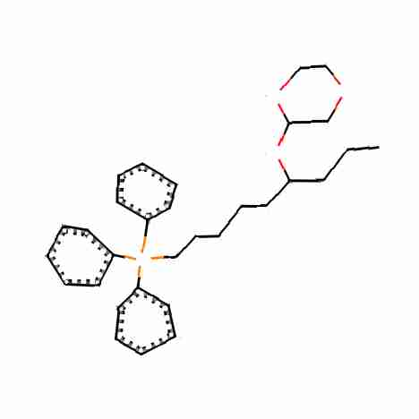 CCCC(CCCCC[P+](c1ccccc1)(c1ccccc1)c1ccccc1)OC1COCCO1.[Br-]